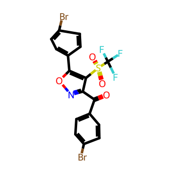 O=C(c1ccc(Br)cc1)c1noc(-c2ccc(Br)cc2)c1S(=O)(=O)C(F)(F)F